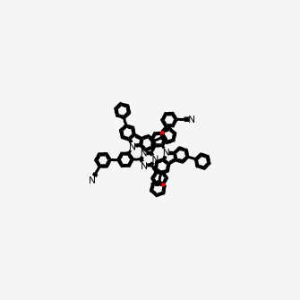 N#Cc1cccc(-c2ccc(-c3nc(-c4ccccc4)nc(-c4ccc(-c5cccc(C#N)c5)cc4-n4c5ccc(-c6ccccc6)cc5c5cc(-c6ccccc6)ccc54)n3)c(-n3c4ccc(-c5ccccc5)cc4c4cc(-c5ccccc5)ccc43)c2)c1